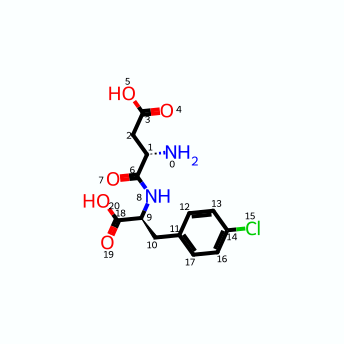 N[C@@H](CC(=O)O)C(=O)N[C@@H](Cc1ccc(Cl)cc1)C(=O)O